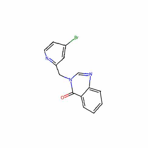 O=c1c2ccccc2ncn1Cc1cc(Br)ccn1